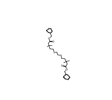 CC(C)(CCSCCSCCC(C)(C)CC(=O)OCc1ccccc1)CC(=O)OCc1ccccc1